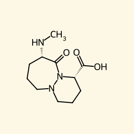 CN[C@H]1CCCN2CCC[C@@H](C(=O)O)N2C1=O